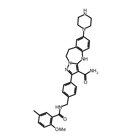 COc1ccc(C)cc1C(=O)NCc1ccc(-c2nn3c(c2C(N)=O)Nc2ccc(N4CCNCC4)cc2CC3)cc1